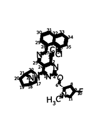 C#Cc1nc(OC[C@@H]2C[C@@H](F)CN2C)nc(N2CC3CCC(C2)N3)c1/C=N\Cc1cccc2cccc(Cl)c12